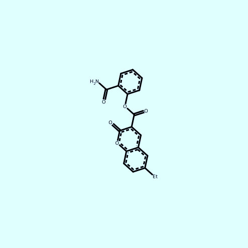 CCc1ccc2oc(=O)c(C(=O)Oc3ccccc3C(N)=O)cc2c1